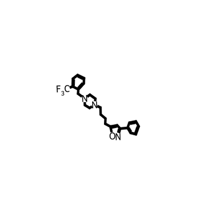 FC(F)(F)c1ccccc1CN1CCN(CCCCc2cc(-c3ccccc3)no2)CC1